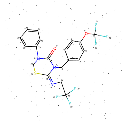 O=C1N(Cc2ccc(OC(F)(F)F)cc2)/C(=N\CC(F)(F)F)SCN1c1ccccc1